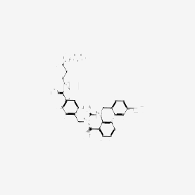 CCc1ccc(Cn2c(=O)n(Cc3ccc(C(=O)NCCCOC)cc3)c(=O)c3ccccc32)cc1